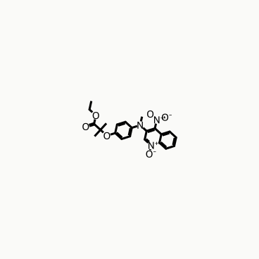 CCOC(=O)C(C)(C)Oc1ccc(N(C)c2c[n+]([O-])c3ccccc3c2[N+](=O)[O-])cc1